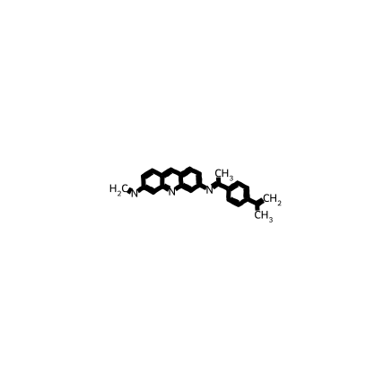 C=Nc1ccc2cc3ccc(/N=C(\C)c4ccc(C(=C)C)cc4)cc3nc2c1